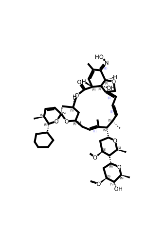 CO[C@H]1CC([C@@H]2/C(C)=C/C[C@@H]3C[C@@H](C[C@]4(C=C[C@H](C)[C@@H](C5CCCCC5)O4)O3)OC(=O)[C@@H]3C=C(C)/C(=N\O)[C@H]4OC/C(=C\C=C\[C@@H]2C)[C@]43O)O[C@@H](C)C1[C@H]1C[C@H](OC)[C@@H](O)[C@H](C)O1